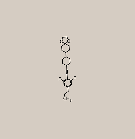 CCCc1cc(F)c(C#CC2CCC(C3CCC4(CC3)OCCO4)CC2)c(F)c1